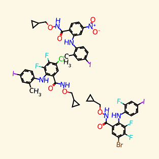 Cc1cc(I)ccc1Nc1c(C(=O)NOCC2CC2)cc(Cl)c(F)c1F.Cc1cc(I)ccc1Nc1cc([N+](=O)[O-])ccc1C(=O)NOCC1CC1.O=C(NOCC1CC1)c1cc(Br)c(F)c(F)c1Nc1ccc(I)cc1F